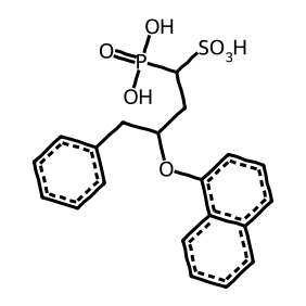 O=P(O)(O)C(CC(Cc1ccccc1)Oc1cccc2ccccc12)S(=O)(=O)O